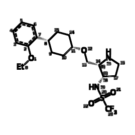 CCOc1ccccc1[C@H]1CC[C@@H](OC[C@@H]2NCC[C@@H]2NS(=O)(=O)C(F)(F)F)CC1